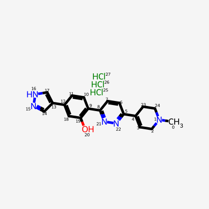 CN1CC=C(c2ccc(-c3ccc(-c4cn[nH]c4)cc3O)nn2)CC1.Cl.Cl.Cl